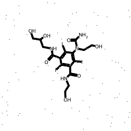 NC(=O)N(CCO)c1c(I)c(C(=O)NCCO)c(I)c(C(=O)NCC(O)CO)c1I